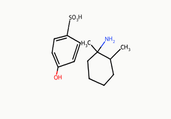 CC1CCCCC1(C)N.O=S(=O)(O)c1ccc(O)cc1